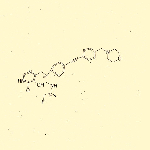 C[C@@H](CF)NC[C@H](Cc1nc[nH]c(=O)c1O)c1ccc(C#Cc2ccc(CN3CCOCC3)cc2)cc1